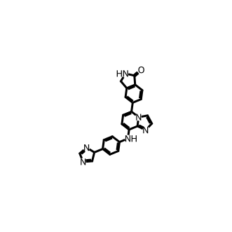 O=C1NCc2cc(-c3ccc(Nc4ccc(C5C=NC=N5)cc4)c4nccn34)ccc21